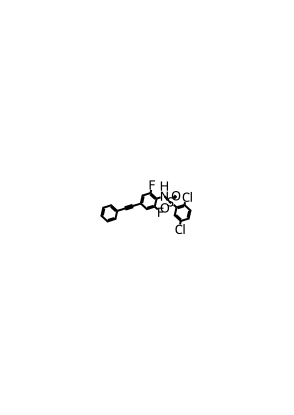 O=S(=O)(Nc1c(F)cc(C#Cc2ccccc2)cc1F)c1cc(Cl)ccc1Cl